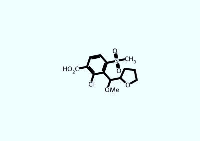 COC(c1c(S(C)(=O)=O)ccc(C(=O)O)c1Cl)C1CCCO1